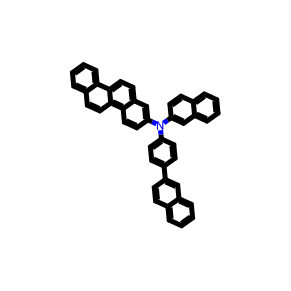 c1ccc2cc(-c3ccc(N(c4ccc5ccccc5c4)c4ccc5c(ccc6c7ccccc7ccc56)c4)cc3)ccc2c1